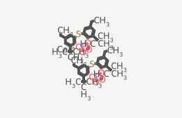 CCc1cc2c(c(C(C)(C)C)c1)OP(=O)([O-])Oc1c(cc(CC)cc1C(C)(C)C)S2.CCc1cc2c(c(C(C)(C)C)c1)OP(=O)([O-])Oc1c(cc(CC)cc1C(C)(C)C)S2.[Ca+2]